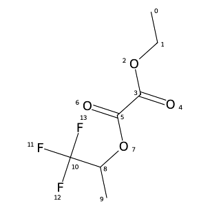 CCOC(=O)C(=O)OC(C)C(F)(F)F